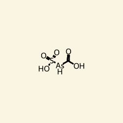 O=C(O)[AsH]S(=O)(=O)O